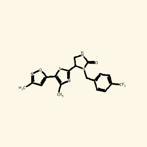 Cc1cc(-c2sc(C3CNC(=O)N3Cc3ccc(C(F)(F)F)cc3)nc2C)on1